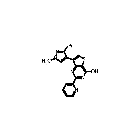 CC(C)c1nn(C)cc1-c1csc2c(O)nc(-c3ccccn3)nc12